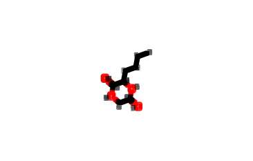 CCCCC1OC(=O)COC1=O